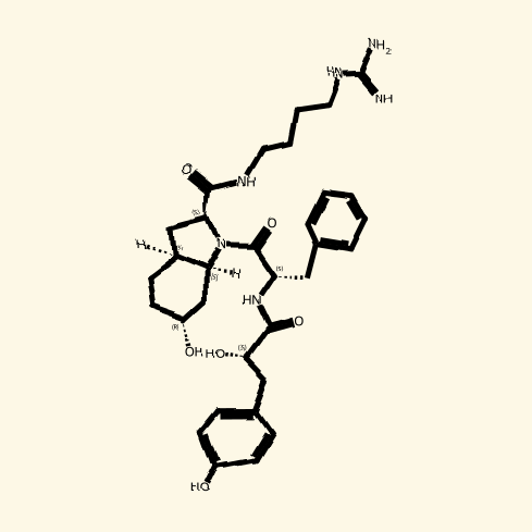 N=C(N)NCCCCNC(=O)[C@@H]1C[C@@H]2CC[C@@H](O)C[C@@H]2N1C(=O)[C@H](Cc1ccccc1)NC(=O)[C@@H](O)Cc1ccc(O)cc1